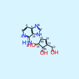 Nc1nccc2ncn([C@@H]3C=C(CO)[C@H](O)C3O)c12